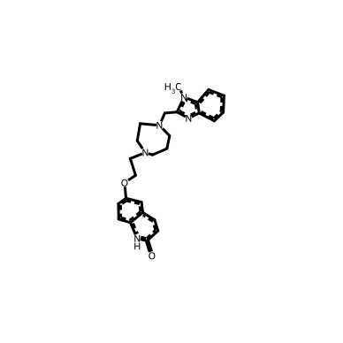 Cn1c(CN2CCCN(CCOc3ccc4[nH]c(=O)ccc4c3)CC2)nc2ccccc21